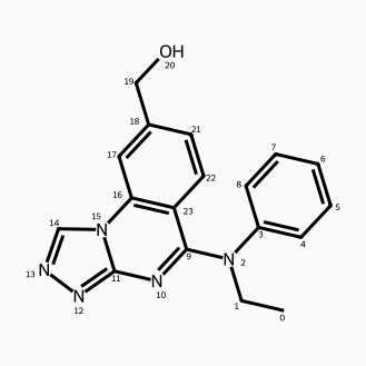 CCN(c1ccccc1)c1nc2nncn2c2cc(CO)ccc12